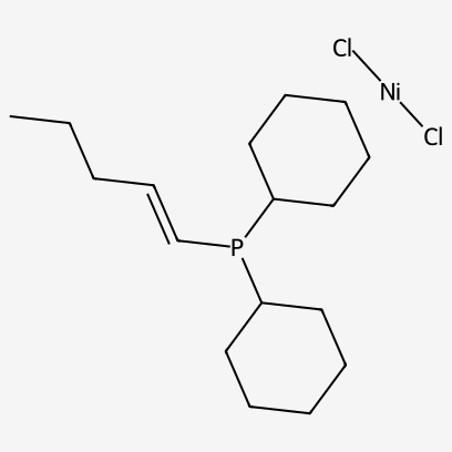 CCCC=CP(C1CCCCC1)C1CCCCC1.[Cl][Ni][Cl]